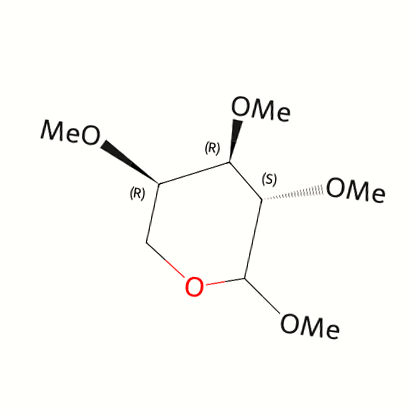 COC1OC[C@@H](OC)[C@@H](OC)[C@@H]1OC